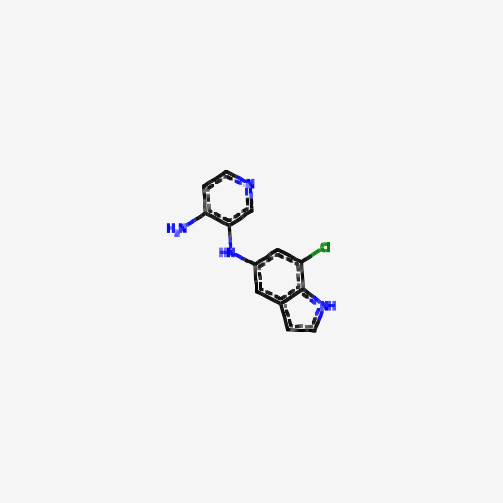 Nc1ccncc1Nc1cc(Cl)c2[nH]ccc2c1